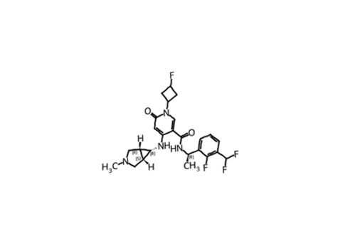 C[C@@H](NC(=O)c1cn(C2CC(F)C2)c(=O)cc1N[C@@H]1[C@@H]2CN(C)C[C@@H]21)c1cccc(C(F)F)c1F